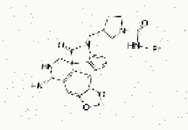 CC(C)NC(=O)N1CCC(CN2C(=O)C3(CNC(=N)c4cc5c(cc43)OCO5)c3ccccc32)C1